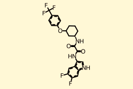 O=C(Nc1c[nH]c2cc(F)c(F)cc12)C(=O)N[C@@H]1CCCC(Oc2ccc(C(F)(F)F)cc2)C1